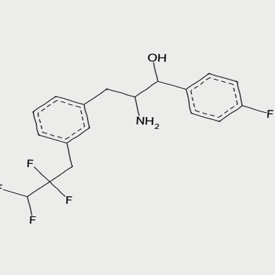 NC(Cc1cccc(CC(F)(F)C(F)F)c1)C(O)c1ccc(F)cc1